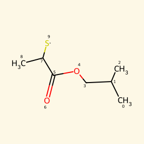 CC(C)COC(=O)C(C)[S]